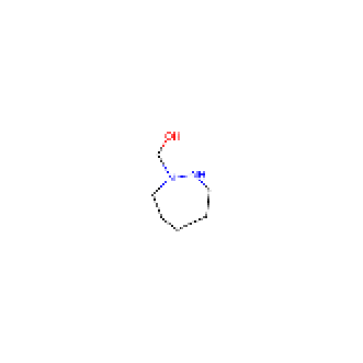 OCN1CCCCCN1